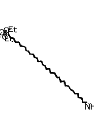 CCO[Si](CCCCCCCCCCCCCCCCCCCCCCCCCCCCCCCCCCCN)(OCC)OCC